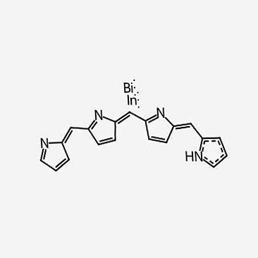 C1=CC(=CC2=NC(=CC3=NC(=Cc4ccc[nH]4)C=C3)C=C2)N=C1.[Bi].[In]